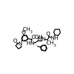 COc1cc(C(=O)N[C@@H](Cc2ccccc2)[C@H](O)CN[C@@H](C)C(=O)NC2CCCCC2)cc(N2CCCC2=O)c1